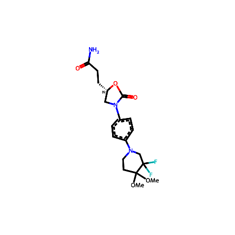 COC1(OC)CCN(c2ccc(N3C[C@H](CCC(N)=O)OC3=O)cc2)CC1(F)F